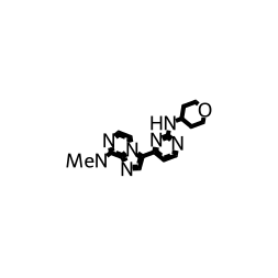 CNc1nccn2c(-c3ccnc(NC4CCOCC4)n3)cnc12